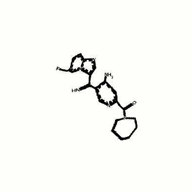 N=C(c1cnc(C(=O)N2CCCCCC2)cc1N)c1cnc2ccc(F)cn12